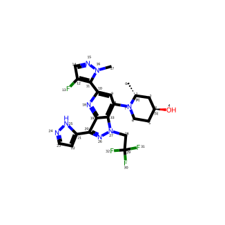 C[C@@H]1C[C@@H](O)CCN1c1cc(-c2c(F)cnn2C)nc2c(-c3ccn[nH]3)nn(CC(F)(F)F)c12